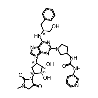 CN1CC(=O)N([C@H]2C[C@@H](n3cnc4c(N[C@H](CO)Cc5ccccc5)nc(N5CCC(NC(=O)Nc6cccnc6)C5)nc43)[C@H](O)[C@@H]2O)C1=O